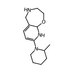 CC1CCCCN1C1=CC=C2CNCCOC2N1